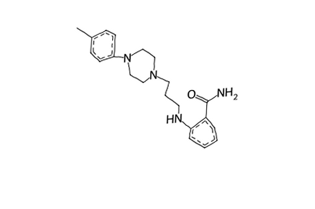 Cc1ccc(N2CCN(CCCNc3ccccc3C(N)=O)CC2)cc1